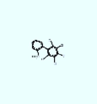 O=C(O)c1ccccc1-c1c(Cl)c(Cl)c(Cl)c(Cl)c1Cl